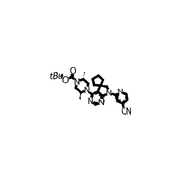 C[C@@H]1CN(c2ncnc3c2C2(CCCC2)CN3c2cc(C#N)ccn2)[C@@H](C)CN1C(=O)OC(C)(C)C